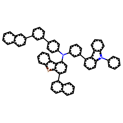 c1ccc(-n2c3ccccc3c3c(-c4cccc(N(c5ccc(-c6cccc(-c7ccc8ccccc8c7)c6)cc5)c5ccc(-c6cccc7ccccc67)c6sc7ccccc7c56)c4)cccc32)cc1